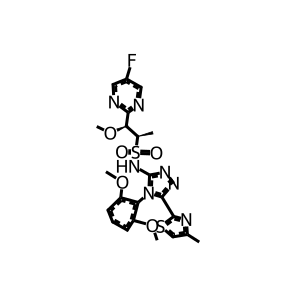 COc1cccc(OC)c1-n1c(NS(=O)(=O)[C@H](C)[C@@H](OC)c2ncc(F)cn2)nnc1-c1nc(C)cs1